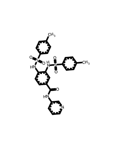 Cc1ccc(S(=O)(=O)Nc2ccc(C(=O)Nc3cccnc3)cc2NS(=O)(=O)c2ccc(C)cc2)cc1